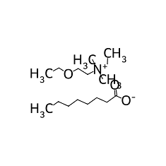 CCCCCCCC(=O)[O-].CCOCC[N+](C)(C)CC